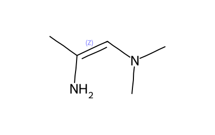 C/C(N)=C/N(C)C